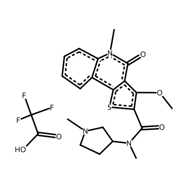 COc1c(C(=O)N(C)C2CCN(C)C2)sc2c1c(=O)n(C)c1ccccc21.O=C(O)C(F)(F)F